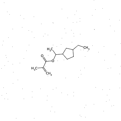 C=C(C)C(=O)OC(C)C1CCC(CC)C1